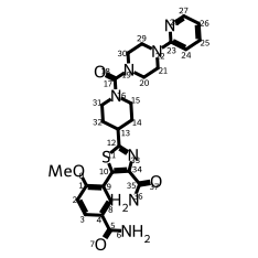 COc1ccc(C(N)=O)cc1-c1sc(C2CCN(C(=O)N3CCN(c4ccccn4)CC3)CC2)nc1C(N)=O